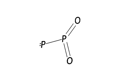 O=P(=O)[P]